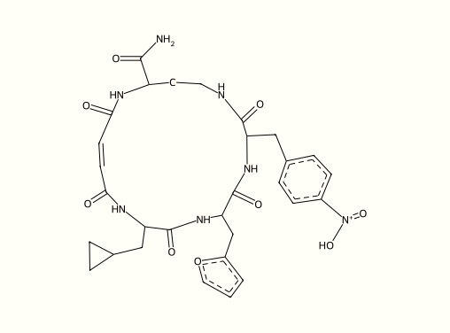 NC(=O)C1CCNC(=O)C(Cc2ccc([N+](=O)O)cc2)NC(=O)C(Cc2ccco2)NC(=O)C(CC2CC2)NC(=O)C=CC(=O)N1